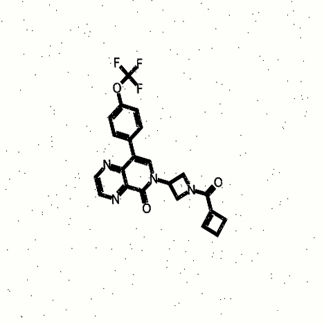 O=C(C1=CCC1)N1CC(n2cc(-c3ccc(OC(F)(F)F)cc3)c3nccnc3c2=O)C1